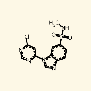 CNS(=O)(=O)c1ccc2ncn(-c3cc(Cl)ncn3)c2c1